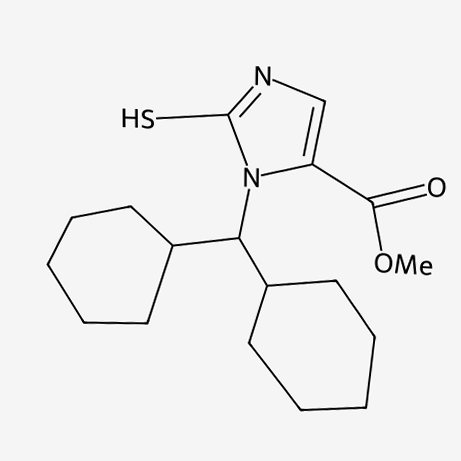 COC(=O)c1cnc(S)n1C(C1CCCCC1)C1CCCCC1